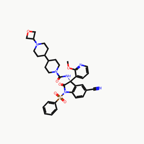 COc1ncccc1[C@]1(NC(=O)N2CCC(C3CCN(C4COC4)CC3)CC2)C(=O)N(S(=O)(=O)c2ccccc2)c2ccc(C#N)cc21